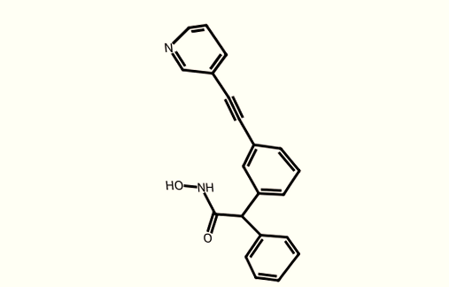 O=C(NO)C(c1ccccc1)c1cccc(C#Cc2cccnc2)c1